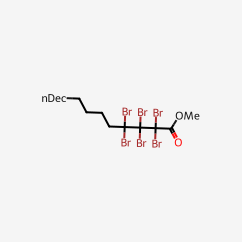 CCCCCCCCCCCCCCC(Br)(Br)C(Br)(Br)C(Br)(Br)C(=O)OC